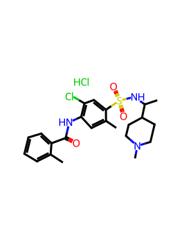 Cc1ccccc1C(=O)Nc1cc(C)c(S(=O)(=O)NC(C)C2CCN(C)CC2)cc1Cl.Cl